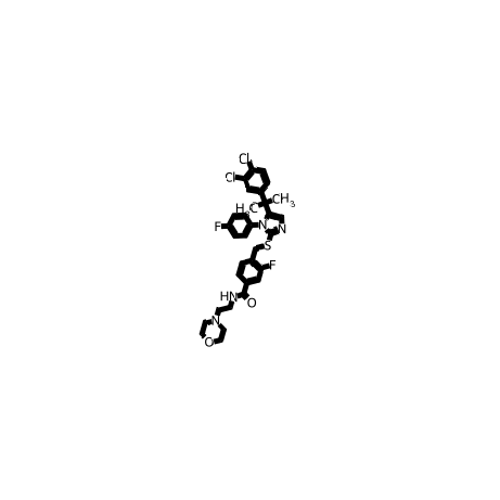 CC(C)(c1ccc(Cl)c(Cl)c1)c1cnc(SCc2ccc(C(=O)NCCN3CCOCC3)cc2F)n1-c1ccc(F)cc1